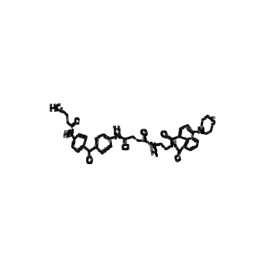 C#CCCC(=O)Nc1ccc(C(=O)c2ccc(NC(=O)CCC(=O)NCCN3C(=O)c4cccc5c(N6CCSCC6)ccc(c45)C3=O)cc2)cc1